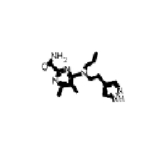 CCCN(CCc1cn[nH]c1)c1nc(C(N)=O)nc(C)c1C